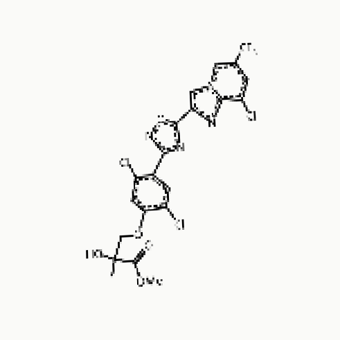 COC(=O)C(C)(O)COc1cc(Cl)c(-c2noc(-c3cn4cc(C(F)(F)F)cc(Cl)c4n3)n2)cc1Cl